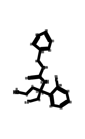 O=C(N[C@@](CF)(CCO)c1ccccc1F)OCc1ccccc1